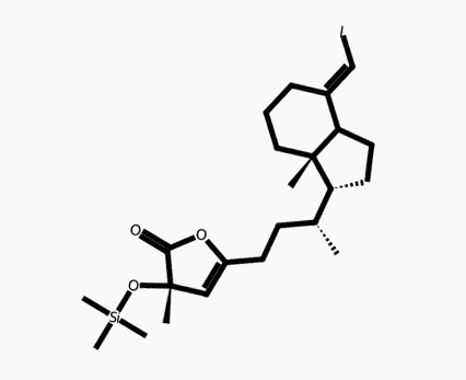 C[C@H](CCC1=C[C@](C)(O[Si](C)(C)C)C(=O)O1)[C@H]1CCC2C(=CI)CCC[C@]21C